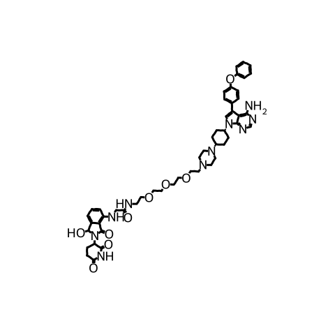 Nc1ncnc2c1c(-c1ccc(Oc3ccccc3)cc1)cn2[C@H]1CC[C@H](N2CCN(CCOCCOCCOCCNC(=O)CNc3cccc4c3C(=O)N(C3CCC(=O)NC3=O)C4O)CC2)CC1